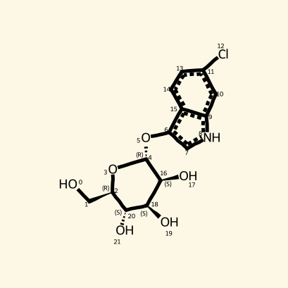 OC[C@H]1O[C@H](Oc2c[nH]c3cc(Cl)ccc23)[C@@H](O)[C@@H](O)[C@@H]1O